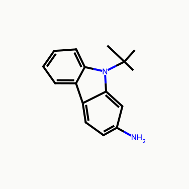 CC(C)(C)n1c2ccccc2c2ccc(N)cc21